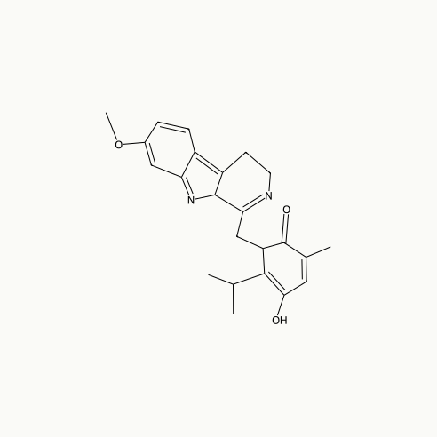 COc1ccc2c(c1)=NC1C(CC3C(=O)C(C)=CC(O)=C3C(C)C)=NCCC=21